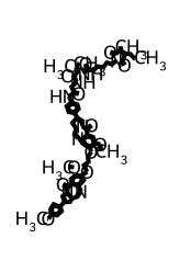 CCCC1=C(C)C(=O)N(CCCCCC(=O)NC(C(=O)NCC(=O)Nc2ccc(C3=CN4C(=O)c5cc(OC)c(OCCCOc6cc7c(cc6OC)C(=O)N6C=C(c8ccc(OC)cc8)CC6C=N7)cc5N=CC4C3)cc2)C(C)C)C1=O